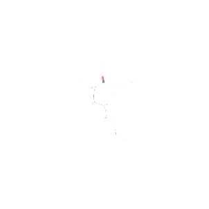 CC(C)CSCCCN(C)C(=O)OC(C)(C)C